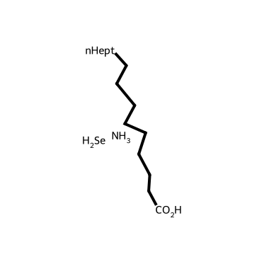 CCCCCCCCCCCCCCCC(=O)O.N.[SeH2]